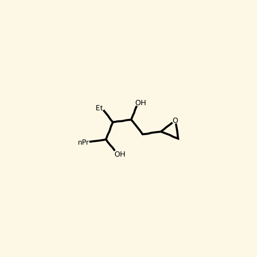 CCCC(O)C(CC)C(O)CC1CO1